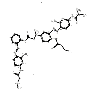 CCCC(=O)Oc1ccc(C(C)CC(=O)Oc2ccccc2/N=N/c2ccc(NC(=O)CNC)nc2N)cc1/N=N/c1ccc(NC(=O)[C@H](C)N)nc1N